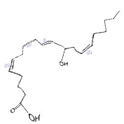 CCCCC/C=C\CC(O)/C=C/C=C\C/C=C\CCCC(=O)O